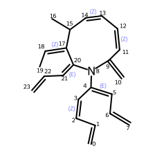 C=C/C=C\C(=C/C=C)N1C(=C)/C=C\C=C/C(C)C(=C/C)/C1=C\C=C